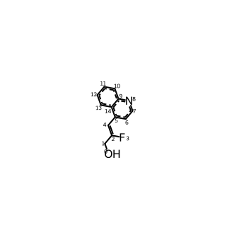 OCC(F)=Cc1ccnc2ccccc12